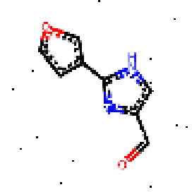 O=Cc1c[nH]c(-c2ccoc2)n1